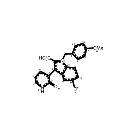 COc1ccc(Cn2c(C(=O)O)c(-c3ccc[nH]c3=O)c3cc(C(F)(F)F)ccc32)cc1